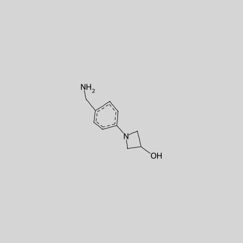 NCc1ccc(N2CC(O)C2)cc1